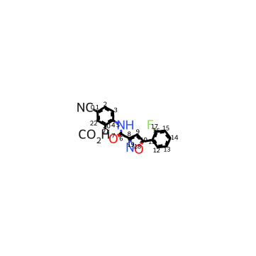 N#Cc1ccc(NC(=O)c2cc(-c3ccccc3F)on2)c(C(=O)O)c1